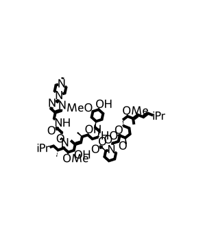 CO[C@@H](C[C@@H]1CC[C@@H](C)[C@](O)(C(=O)C(=O)N2CCCC[C@H]2C(=O)O[C@H](CC[C@@H]2CC[C@@H](O)[C@H](OC)C2)C[C@@H](O)[C@H](C)/C=C(\C)[C@@H](O)[C@@H](OC)/C(=N/OCC(=O)NCc2cnc(N3CCN(C)CC3)nc2)[C@H](C)CC(C)C)O1)/C(C)=C/C=C/C(C)C